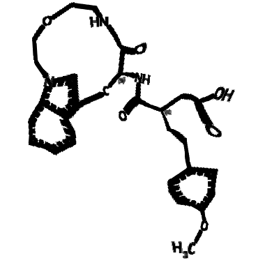 COc1ccc(CC[C@H](CC(=O)O)C(=O)N[C@H]2Cc3cn(c4ccccc34)CCOCCNC2=O)cc1